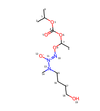 CC(C)OC(=O)OC(C)ON=[N+]([O-])N(C)CCCCO